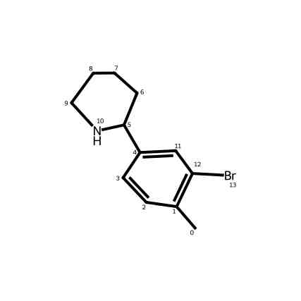 Cc1ccc(C2[CH]CCCN2)cc1Br